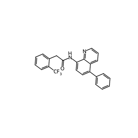 O=C(Cc1ccccc1C(F)(F)F)Nc1ccc(-c2ccccc2)c2cccnc12